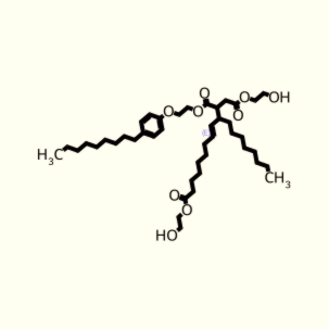 CCCCCCCCCc1ccc(OCCOC(=O)C(CC(=O)OCCO)C(/C=C/CCCCCCC(=O)OCCO)CCCCCCCC)cc1